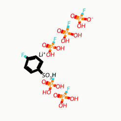 O=P(O)(O)F.O=P(O)(O)F.O=P(O)(O)F.O=P(O)(O)F.O=P([O-])(O)F.O=S(=O)(O)c1ccc(F)cc1.[Li+]